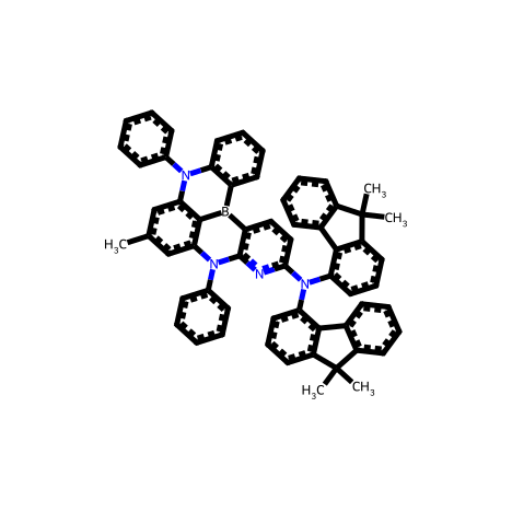 Cc1cc2c3c(c1)N(c1ccccc1)c1nc(N(c4cccc5c4-c4ccccc4C5(C)C)c4cccc5c4-c4ccccc4C5(C)C)ccc1B3c1ccccc1N2c1ccccc1